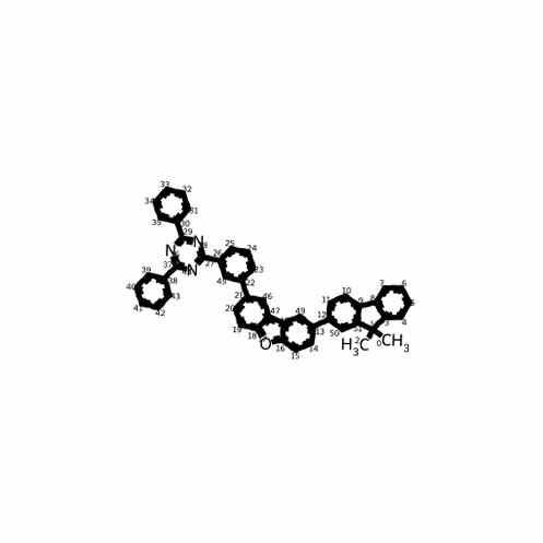 CC1(C)c2ccccc2-c2ccc(-c3ccc4oc5ccc(-c6cccc(-c7nc(-c8ccccc8)nc(-c8ccccc8)n7)c6)cc5c4c3)cc21